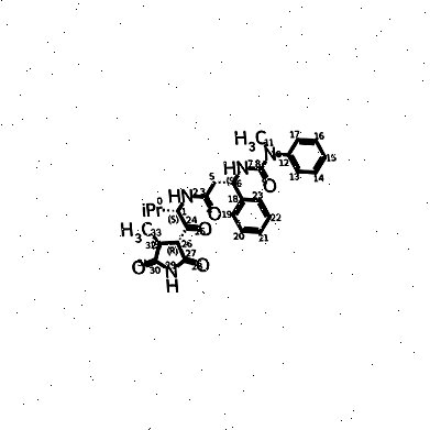 CC(C)[C@H](NC(=O)C[C@H](NC(=O)N(C)c1ccccc1)c1ccccc1)C(=O)[C@@H]1C(=O)NC(=O)[C@H]1C